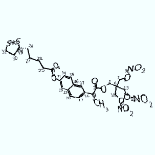 C[C@H](C(=O)OCC(CO[N+](=O)[O-])(CO[N+](=O)[O-])CO[N+](=O)[O-])c1ccc2cc(OC(=O)CCCC[C@@H]3CCSS3)ccc2c1